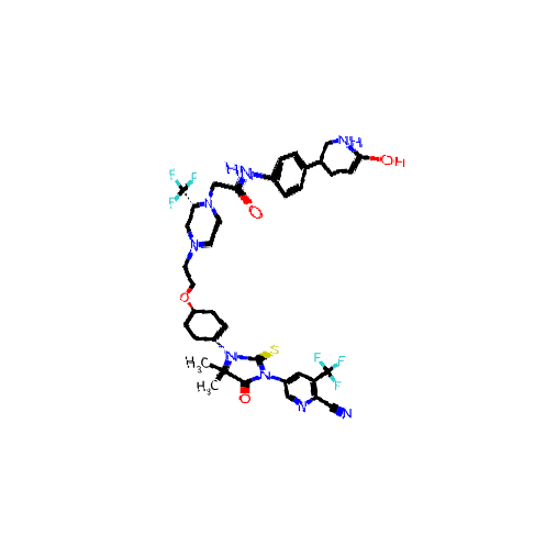 CC1(C)C(=O)N(c2cnc(C#N)c(C(F)(F)F)c2)C(=S)N1[C@H]1CC[C@H](OCCN2CCN(CC(=O)Nc3ccc(C4CCC(O)NC4)cc3)[C@@H](C(F)(F)F)C2)CC1